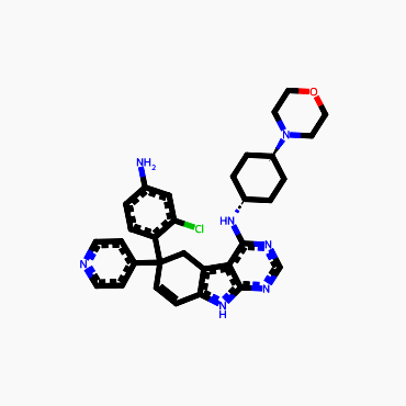 Nc1ccc(C2(c3ccncc3)C=Cc3[nH]c4ncnc(N[C@H]5CC[C@H](N6CCOCC6)CC5)c4c3C2)c(Cl)c1